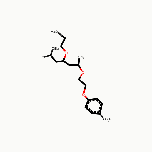 CCC(CC(CC(C)OCCOc1ccc(C(=O)O)cc1)OCCOC)OCC(C)C